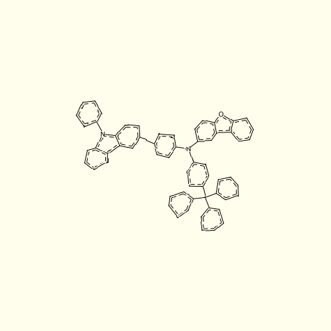 c1ccc(-n2c3ccccc3c3cc(-c4ccc(N(c5ccc(C(c6ccccc6)(c6ccccc6)c6ccccc6)cc5)c5ccc6oc7ccccc7c6c5)cc4)ccc32)cc1